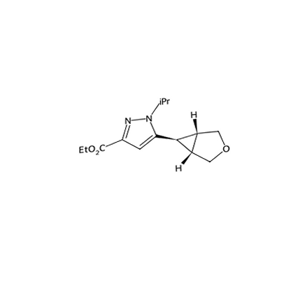 CCOC(=O)c1cc([C@H]2[C@@H]3COC[C@@H]32)n(C(C)C)n1